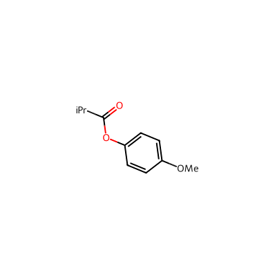 COc1ccc(OC(=O)C(C)C)cc1